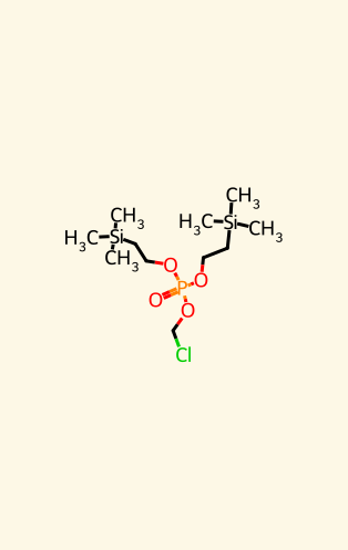 C[Si](C)(C)CCOP(=O)(OCCl)OCC[Si](C)(C)C